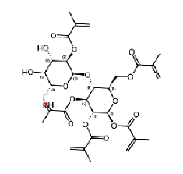 C=C(C)C(=O)OC[C@H]1O[C@@H](OC(=O)C(=C)C)[C@H](OC(=O)C(=C)C)[C@@H](OC(=O)C(=C)C)[C@@H]1O[C@H]1O[C@H](CO)[C@@H](O)[C@H](O)[C@H]1OC(=O)C(=C)C